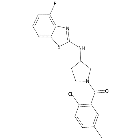 Cc1ccc(Cl)c(C(=O)N2CCC(Nc3nc4c(F)cccc4s3)C2)c1